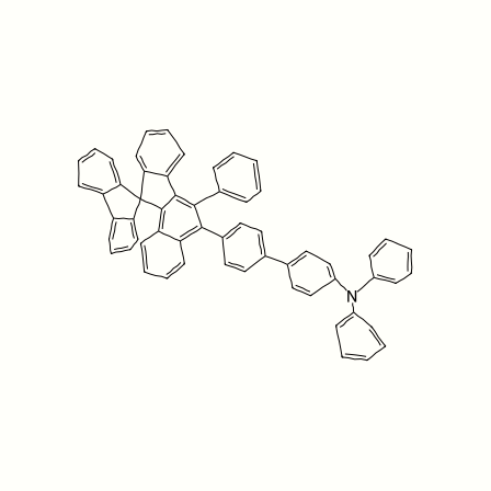 c1ccc(-c2c3c(c4ccccc4c2-c2ccc(-c4ccc(N(c5ccccc5)c5ccccc5)cc4)cc2)C2(c4ccccc4-c4ccccc42)c2ccccc2-3)cc1